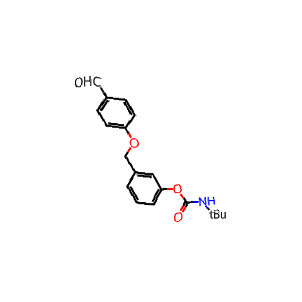 CC(C)(C)NC(=O)Oc1cccc(COc2ccc(C=O)cc2)c1